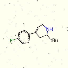 CC(C)(C)C1CC(c2ccc(F)cc2)=CCN1